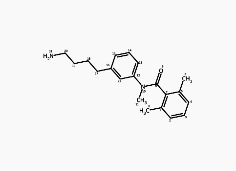 Cc1cccc(C)c1C(=O)N(C)c1cccc(CCCCN)c1